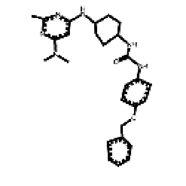 Cc1nc(NC2CCC(NC(=O)Nc3ccc(OCc4ccccc4)cc3)CC2)cc(N(C)C)n1